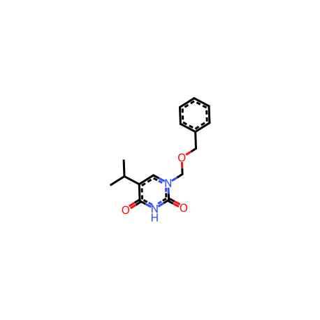 CC(C)c1cn(COCc2ccccc2)c(=O)[nH]c1=O